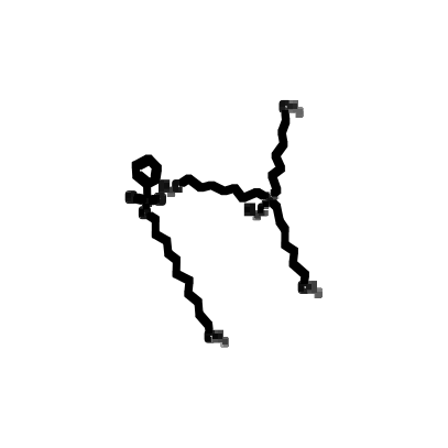 CCCCCCCCCCCCOS(=O)(=O)c1ccccc1.CCCCCCCC[N+](C)(CCCCCCCC)CCCCCCCC